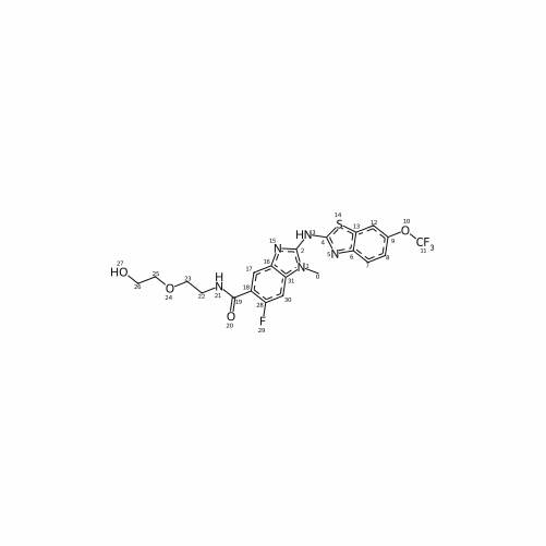 Cn1c(Nc2nc3ccc(OC(F)(F)F)cc3s2)nc2cc(C(=O)NCCOCCO)c(F)cc21